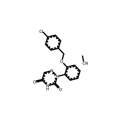 CC#N.O=c1cnn(-c2ccccc2OCc2ccc(Cl)cc2)c(=O)[nH]1